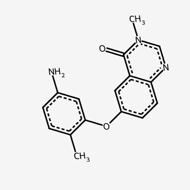 Cc1ccc(N)cc1Oc1ccc2ncn(C)c(=O)c2c1